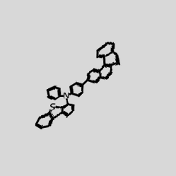 c1ccc(N(c2ccc(-c3ccc4c(ccc5ccc6ccccc6c54)c3)cc2)c2cccc3c2sc2ccccc23)cc1